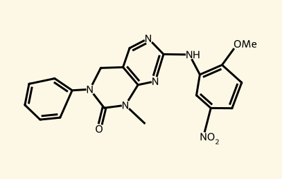 COc1ccc([N+](=O)[O-])cc1Nc1ncc2c(n1)N(C)C(=O)N(c1ccccc1)C2